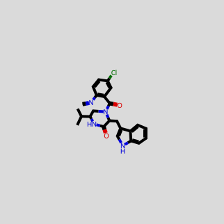 C=Nc1ccc(Cl)cc1C(=O)N1CC(C(C)C)NC(=O)C1Cc1c[nH]c2ccccc12